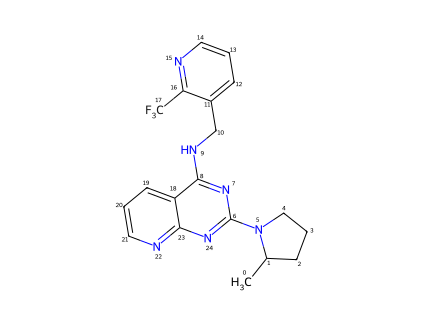 CC1CCCN1c1nc(NCc2cccnc2C(F)(F)F)c2cccnc2n1